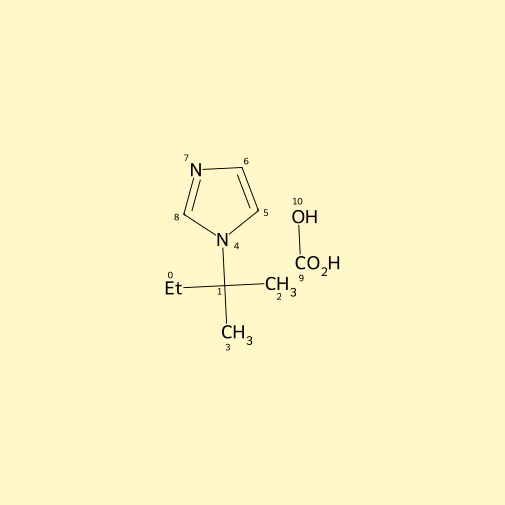 CCC(C)(C)n1ccnc1.O=C(O)O